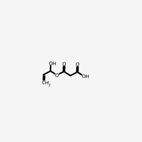 C=CC(O)OC(=O)CC(=O)O